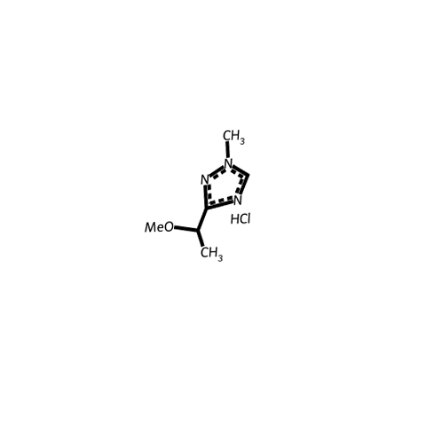 COC(C)c1ncn(C)n1.Cl